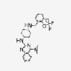 CN(C)c1nc(N[C@H]2CC[C@@H](NCc3cccc4c3OC(F)(F)O4)CC2)nc2ccccc12